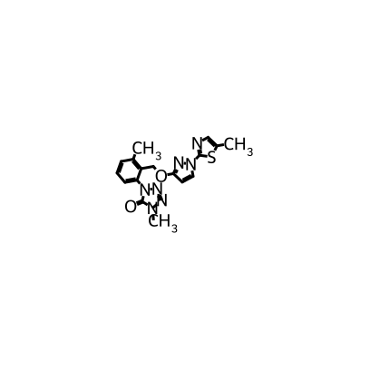 Cc1cnc(-n2ccc(OCc3c(C)cccc3-n3nnn(C)c3=O)n2)s1